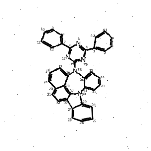 c1ccc(-c2nc(-c3ccccc3)nc(-n3c4cccc5ccc6c7ccccc7n(c7ccccc73)c6c54)n2)cc1